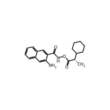 C[C@H](C(=O)ONC(=O)c1cc2ccccc2cc1N)C1CCCCC1